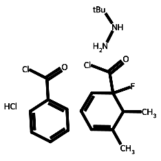 CC(C)(C)NN.CC1=CC=CC(F)(C(=O)Cl)C1C.Cl.O=C(Cl)c1ccccc1